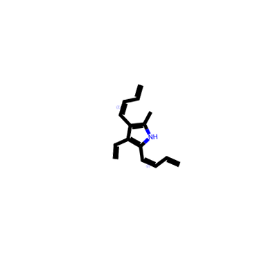 C=C/C=C\c1[nH]c(C)c(/C=C\C=C)c1C=C